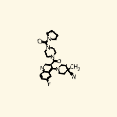 CC1(C#N)CCN(c2c(C(=O)N3CCN(C(=O)N4CCCC4)CC3)cnc3ccc(F)cc23)CC1